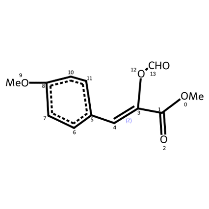 COC(=O)/C(=C/c1ccc(OC)cc1)OC=O